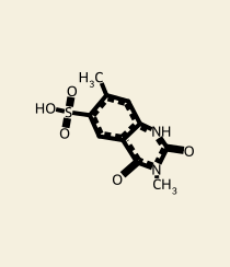 Cc1cc2[nH]c(=O)n(C)c(=O)c2cc1S(=O)(=O)O